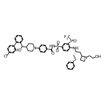 O=C(NS(=O)(=O)c1ccc(N[C@@H](CSc2ccccc2)CC2CCN2CCO)c([S+]([O-])C(F)(F)F)c1)c1ccc(N2CCC(C(O)c3ccccc3-c3ccc(Cl)cc3)CC2)cc1